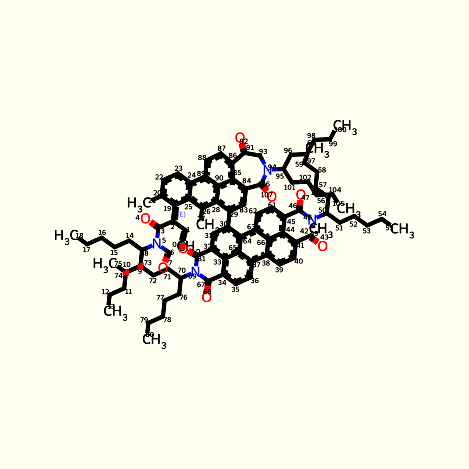 C=C/C(C(=O)N(C=O)C(CCCCC)CCCCC)=c1/c(C)ccc2c1c(C)c1c(-c3cc4c5c(ccc6c7ccc(C=O)c8c(C(=O)N(C)C(CCCCC)CCCCC)ccc(c3c56)c87)C(=O)N(C(CCCCC)CCCCC)C4=O)cc3c4c(ccc2c41)C(=O)CN(C(CCCCC)CCCCC)C3=O